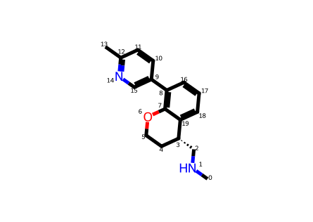 CNC[C@@H]1CCOc2c(-c3ccc(C)nc3)cccc21